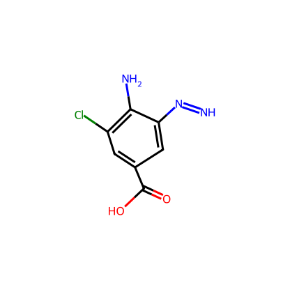 N=Nc1cc(C(=O)O)cc(Cl)c1N